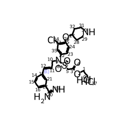 CCOC(=O)CS(=O)(=O)N(C/C=C/c1cccc(C(=N)N)c1)c1ccc(OC2CCNCC2)c(Cl)c1.Cl.Cl